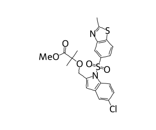 COC(=O)C(C)(C)OCc1cc2cc(Cl)ccc2n1S(=O)(=O)c1ccc2sc(C)nc2c1